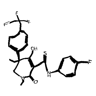 CN1CC(C)(c2ccc(C(F)(F)F)cc2)C(O)=C(C(=S)Nc2ccc(F)cc2)C1=O